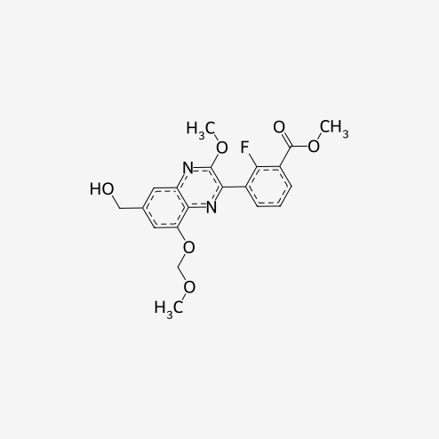 COCOc1cc(CO)cc2nc(OC)c(-c3cccc(C(=O)OC)c3F)nc12